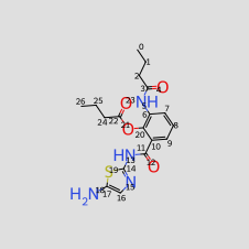 CCCC(=O)Nc1cccc(C(=O)Nc2ncc(N)s2)c1OC(=O)CCC